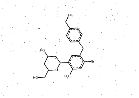 CCc1ccc(Cc2cc(C3CC(O)CC(CO)O3)c(C)cc2Br)cc1